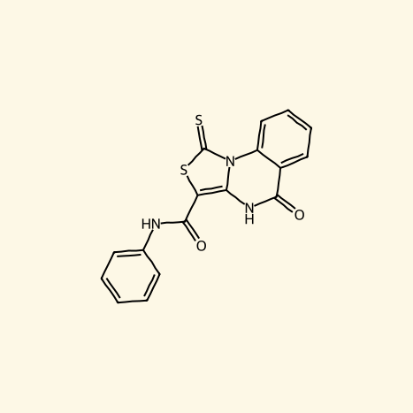 O=C(Nc1ccccc1)c1sc(=S)n2c1[nH]c(=O)c1ccccc12